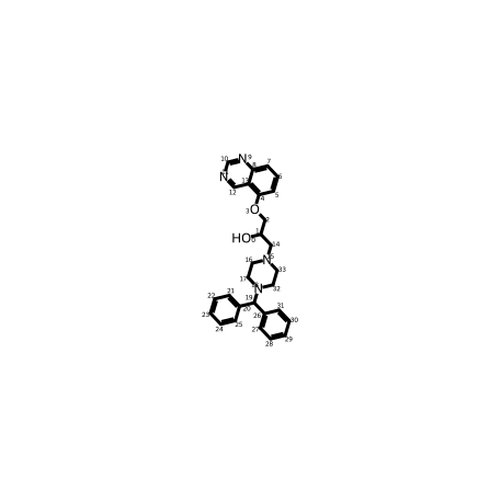 OC(COc1cccc2ncncc12)CN1CCN(C(c2ccccc2)c2ccccc2)CC1